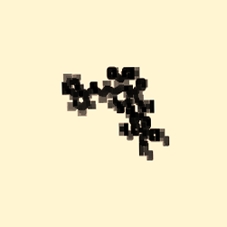 CC(C)(C)OC(=O)N[C@@H]1C(=O)N2C(C(=O)O)=C(/C=C/Sc3cccc4nccn34)CS[C@@H]12